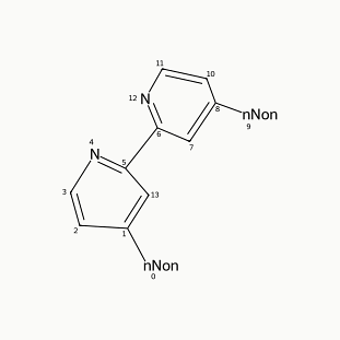 CCCCCCCCCc1ccnc(-c2cc(CCCCCCCCC)ccn2)c1